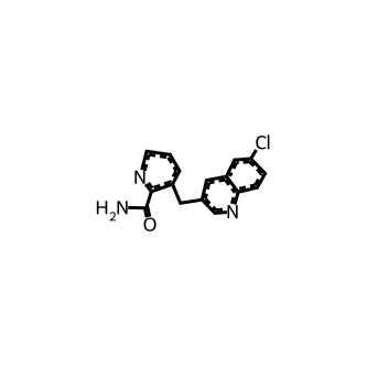 NC(=O)c1ncccc1Cc1cnc2ccc(Cl)cc2c1